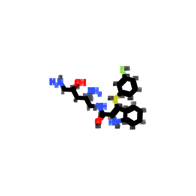 NCC(O)C[C@H](N)CNC(=O)c1[nH]c2ccccc2c1Sc1cccc(F)c1